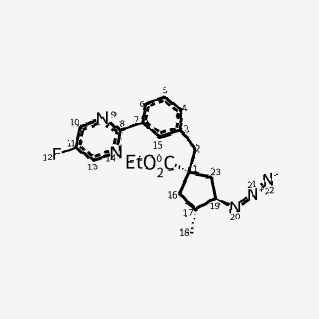 CCOC(=O)[C@@]1(Cc2cccc(-c3ncc(F)cn3)c2)C[C@@H](C)[C@H](N=[N+]=[N-])C1